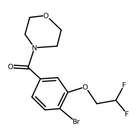 O=C(c1ccc(Br)c(OCC(F)F)c1)N1CCOCC1